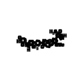 COc1cc(-c2cn(C)c(=O)c3[nH]ncc23)cc(OC)c1CN1CCN(C(=O)CC2CCN(c3ccc4c(N5CCC(=O)NC5=O)n[nH]c4c3C(F)(F)F)CC2)CC1